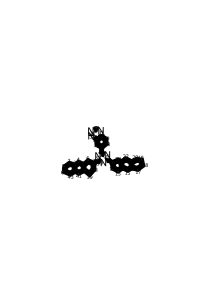 c1ccc2cc3cc(-c4nc(-c5ccc6cc7ccccc7cc6c5)nc(-c5ccc6ncnnc6c5)n4)ccc3cc2c1